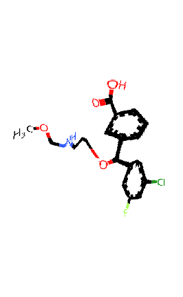 COCNCCOC(c1cc(F)cc(Cl)c1)c1cccc(C(=O)O)c1